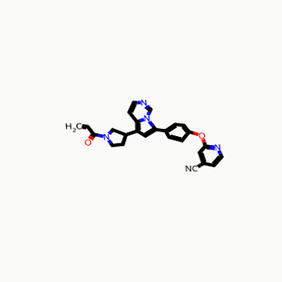 C=CC(=O)N1CCC(c2cc(-c3ccc(Oc4cc(C#N)ccn4)cc3)n3cnccc23)C1